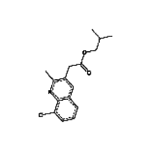 Cc1nc2c(Cl)cccc2cc1CC(=O)OCC(C)C